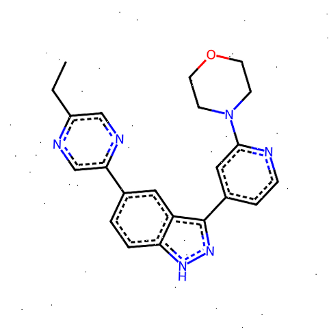 CCc1cnc(-c2ccc3[nH]nc(-c4ccnc(N5CCOCC5)c4)c3c2)cn1